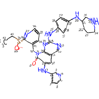 O=c1c(Nc2cccnc2)cc2cnc(Nc3ccc(NC4CCCNC4)cc3)nc2n1Cc1cccnc1[S+]([O-])CC(F)(F)F